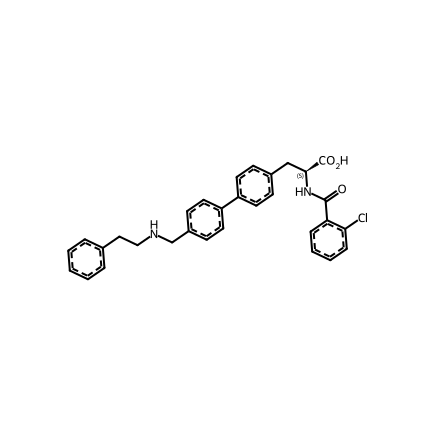 O=C(N[C@@H](Cc1ccc(-c2ccc(CNCCc3ccccc3)cc2)cc1)C(=O)O)c1ccccc1Cl